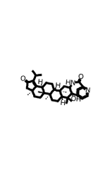 CC(C)C1=C2[C@H]3CC[C@@H]4[C@@]5(C)CC6NC(=O)c7cc(ccn7)[C@@]6(O)C(C)(C)[C@@H]5CC[C@@]4(C)[C@]3(C)CC[C@@]2(C)CC1=O